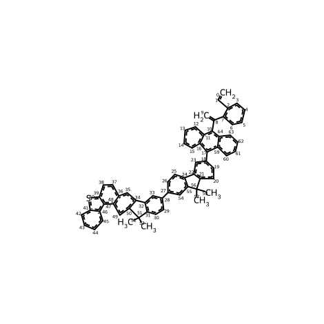 C=Cc1ccccc1C(=C)c1c2ccccc2c(-c2ccc3c(c2)-c2ccc(-c4ccc5c(c4)-c4cc6ccc7sc8ccccc8c7c6cc4C5(C)C)cc2C3(C)C)c2ccccc12